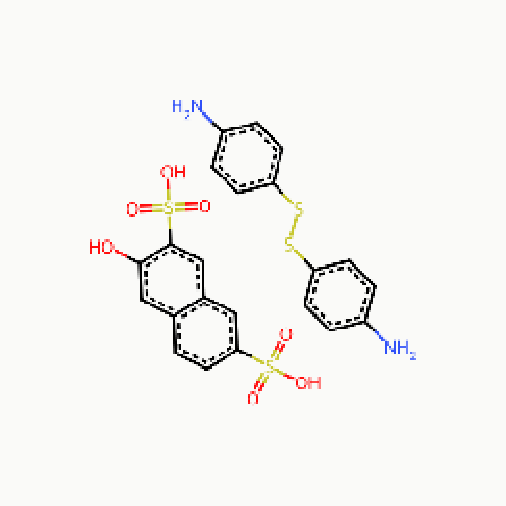 Nc1ccc(SSc2ccc(N)cc2)cc1.O=S(=O)(O)c1ccc2cc(O)c(S(=O)(=O)O)cc2c1